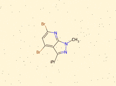 CC(C)c1nn(C)c2nc(Br)cc(Br)c12